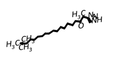 CC(C(=O)CCCCCCCCCCCCCCC(C)(C)C)c1c[nH]nn1